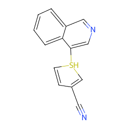 N#CC1=C[SH](c2cncc3ccccc23)C=C1